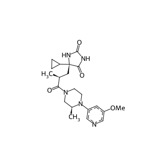 COc1cncc(N2CCN(C(=O)[C@@H](C)C[C@@]3(C4CC4)NC(=O)NC3=O)C[C@@H]2C)c1